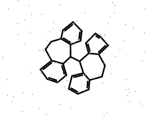 [c]1cccc2c1CCc1ccccc1C2C1c2ccccc2CCc2ccccc21